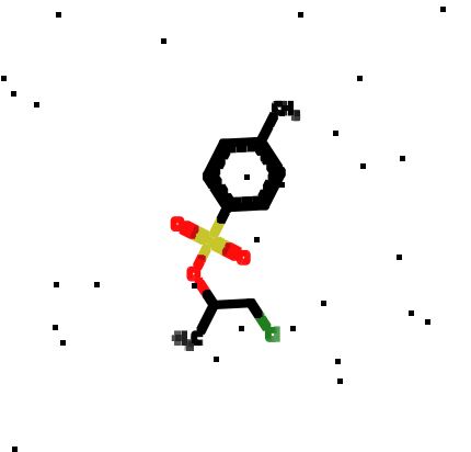 [CH2]C(CCl)OS(=O)(=O)c1ccc(C)cc1